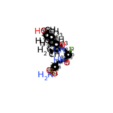 C=C(C)[C@@H]1CC[C@]2(C(=O)NCc3cc(C(=O)NCCc4ccc(S(N)(=O)=O)cc4)ccc3F)CC[C@]3(C)C(CCC4[C@@]5(C)CC[C@H](O)C(C)(C)C5CC[C@]43C)C12